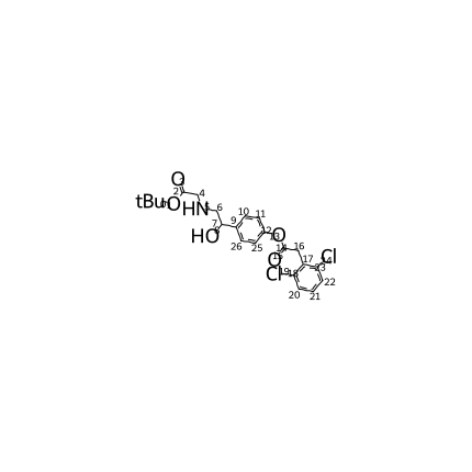 CC(C)(C)OC(=O)CNCC(O)c1ccc(OC(=O)Cc2c(Cl)cccc2Cl)cc1